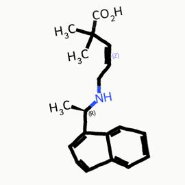 C[C@@H](NC/C=C\C(C)(C)C(=O)O)c1cccc2ccccc12